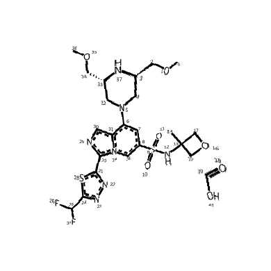 COC[C@H]1CN(c2cc(S(=O)(=O)NC3(C)COC3)cn3c(-c4nnc(C(F)F)s4)ncc23)C[C@H](COC)N1.O=CO